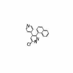 Clc1cc(-c2ccncc2)c(-c2cccc3ccccc23)nn1